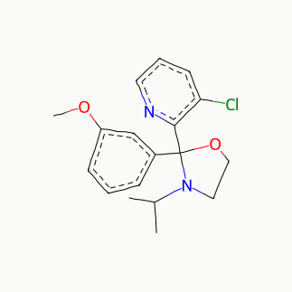 COc1cccc(C2(c3ncccc3Cl)OCCN2C(C)C)c1